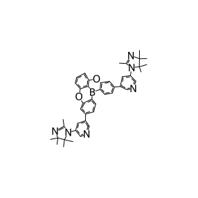 CC1=NC(C)(C)C(C)(C)N1c1cncc(-c2ccc3c(c2)Oc2cccc4c2B3c2ccc(-c3cncc(N5C(C)=NC(C)(C)C5(C)C)c3)cc2O4)c1